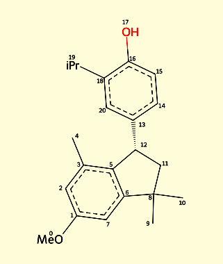 COc1cc(C)c2c(c1)C(C)(C)C[C@H]2c1ccc(O)c(C(C)C)c1